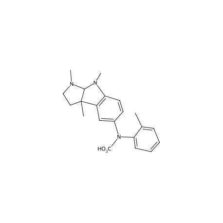 Cc1ccccc1N(C(=O)O)c1ccc2c(c1)C1(C)CCN(C)C1N2C